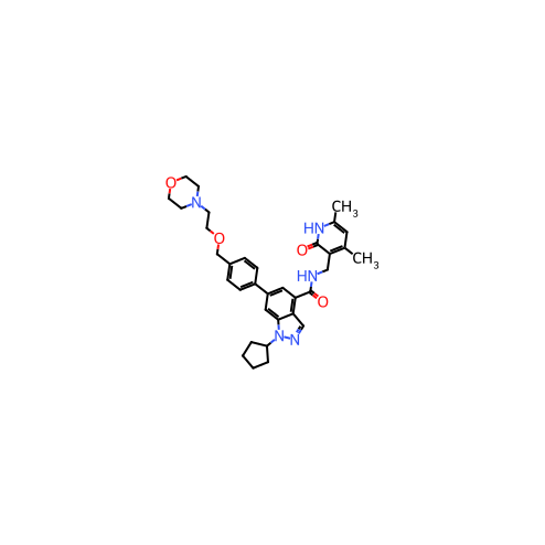 Cc1cc(C)c(CNC(=O)c2cc(-c3ccc(COCCN4CCOCC4)cc3)cc3c2cnn3C2CCCC2)c(=O)[nH]1